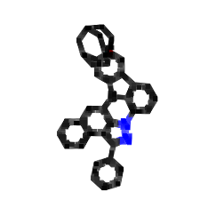 c1ccc(-c2nn3c4c(cc5ccccc5c24)B2c4cc5c(cc4-c4cccc-3c42)C2CC3CC(CC5C3)C2)cc1